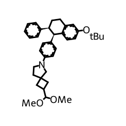 COC(OC)C1CC2(CCN(c3ccc([C@@H]4c5ccc(OC(C)(C)C)cc5CC[C@@H]4c4ccccc4)cc3)C2)C1